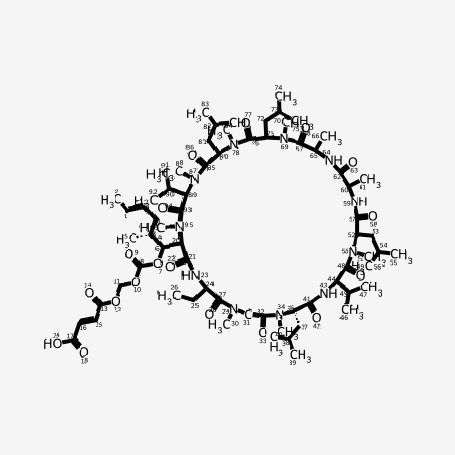 C/C=C/C[C@@H](C)C(OC(=O)OCOC(=O)/C=C/C(=O)O)C1C(=O)NC(CC)C(=O)N(C)CC(=O)N(C)[C@@H](CC(C)C)C(=O)NC(C(C)C)C(=O)N(C)C(CC(C)C)C(=O)NC(C)C(=O)NC(C)C(=O)N(C)C(CC(C)C)C(=O)N(C)C(CC(C)C)C(=O)N(C)C(C(C)C)C(=O)N1C